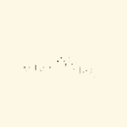 O=CNc1ccc2nc(NC(=O)n3ncc4cc([N+](=O)[O-])ccc43)sc2c1